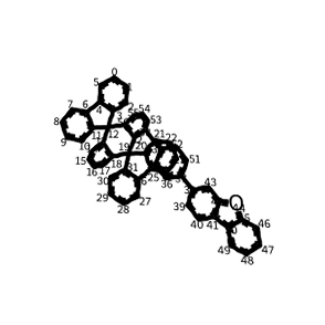 c1ccc2c(c1)-c1ccccc1C21c2ccccc2C2(c3ccccc3-c3ccccc32)c2c(-c3ccc(-c4ccc5c(c4)oc4ccccc45)cc3)cccc21